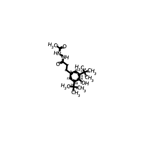 CC(=O)NNC(=O)CCc1cc(C(C)(C)C)c(O)c(C(C)(C)C)c1